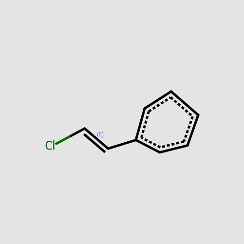 Cl/C=C/c1ccccc1